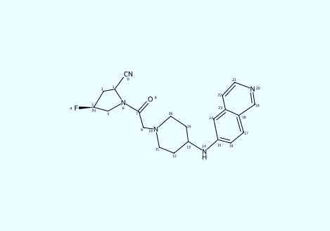 N#CC1C[C@H](F)CN1C(=O)CN1CCC(Nc2ccc3cnccc3c2)CC1